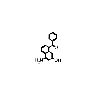 Nc1cc(O)cc2c(C(=O)c3ccccc3)cccc12